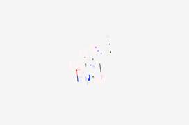 O=C(NCc1c(F)cccc1F)c1cn2c(c(O)c1=O)C(=O)N[C@H]1COCC[C@H]12